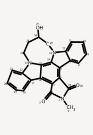 CN1C(=O)c2c(c3c4ccccc4n4c3c3c2c2ccccc2n3CCC(O)C4)C1=O